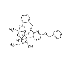 CC[C@@H]1[C@H]2OC(C)(C)O[C@H]2[C@H](c2ccc(OCc3ccccc3)nc2OCc2ccccc2)N1O